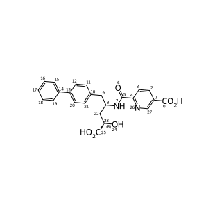 O=C(O)c1ccc(C(=O)NC(Cc2ccc(-c3ccccc3)cc2)C[C@@H](O)C(=O)O)nc1